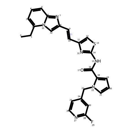 CCc1cccc2nc(/C=C/c3csc(NC(=O)c4cccn4Cc4ccnc(F)c4)n3)cn12